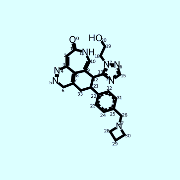 O=C1C=C2N=NCC3=C2C(=CN1)C(c1ncnn1CCO)C(c1ccc(CN2CCC2)cc1)C3